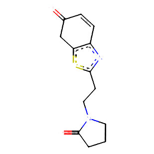 O=C1C=Cc2nc(CCN3CCCC3=O)sc2C1